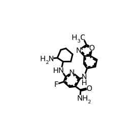 Cc1nc2cc(Nc3nc(NC4CCCCC4N)c(F)cc3C(N)=O)ccc2o1